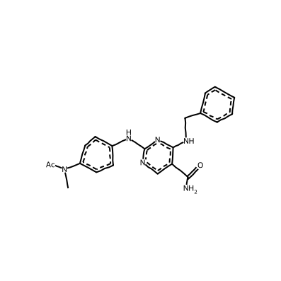 CC(=O)N(C)c1ccc(Nc2ncc(C(N)=O)c(NCc3ccccc3)n2)cc1